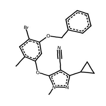 Cc1cc(Br)c(OCc2ccccc2)cc1Oc1c(C#N)c(C2CC2)nn1C